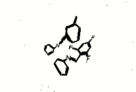 Cc1cccc(/C=N/c2ccccc2)c1.Fc1cc(F)c(/C=N/c2ccccc2)c(F)c1